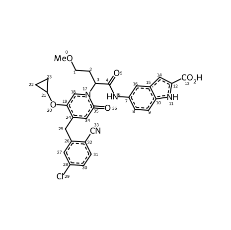 COCCC(C(=O)Nc1ccc2[nH]c(C(=O)O)cc2c1)n1cc(OC2CC2)c(Cc2cc(Cl)ccc2C#N)cc1=O